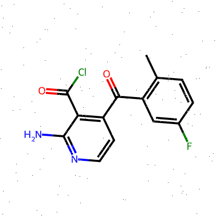 Cc1ccc(F)cc1C(=O)c1ccnc(N)c1C(=O)Cl